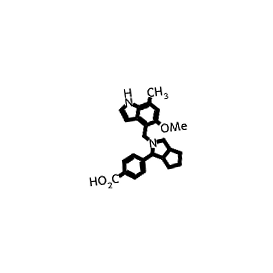 COc1cc(C)c2[nH]ccc2c1CN1CC2CCCC2C1c1ccc(C(=O)O)cc1